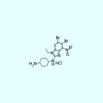 CCn1c(NC2CCC(N)CC2)nc2c([N+](=O)[O-])c(Br)c(Br)cc21.Cl